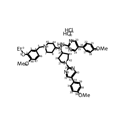 CCOc1cc(CN2CCC(N(Nc3ncc(-c4ccc(OC)cc4)cn3)C3CCN(c4ncc(-c5ccc(OC)cc5)cn4)CC3)CC2)ccc1OC.Cl.Cl